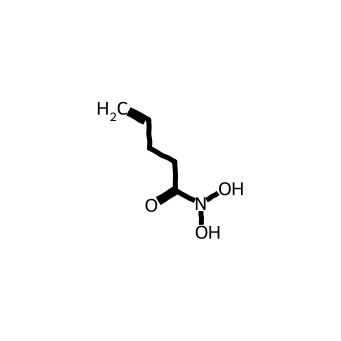 C=CCCC(=O)N(O)O